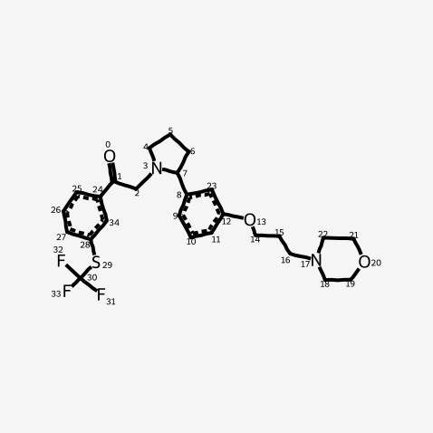 O=C(CN1CCCC1c1cccc(OCCCN2CCOCC2)c1)c1cccc(SC(F)(F)F)c1